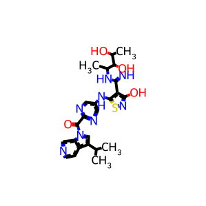 CC(C)c1cn(C(=O)c2ncc(Nc3snc(O)c3C(=N)NC(C)C(O)C(C)O)cn2)c2cnccc12